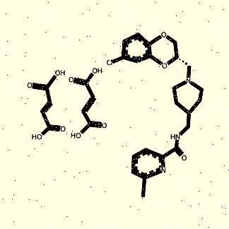 Cc1cccc(C(=O)NCC2CCN(C[C@H]3COc4ccc(Cl)cc4O3)CC2)n1.O=C(O)/C=C/C(=O)O.O=C(O)/C=C/C(=O)O